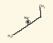 CCCCCCCC/C=C\CCCCCCCCC(CCCCCCCCCCCCCCCCC)OS(=O)(=O)[O-].[Na+]